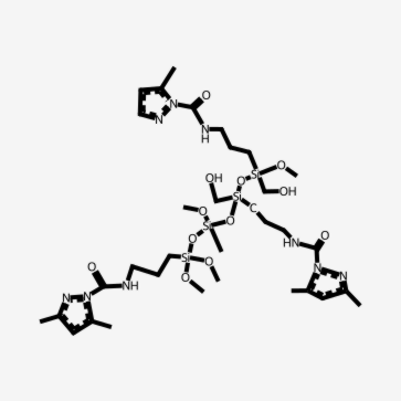 CO[Si](CO)(CCCNC(=O)n1nccc1C)O[Si](CO)(CCCNC(=O)n1nc(C)cc1C)O[Si](C)(OC)O[Si](CCCNC(=O)n1nc(C)cc1C)(OC)OC